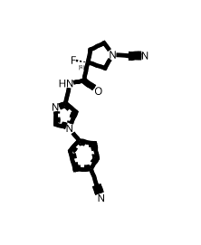 N#Cc1ccc(-n2cnc(NC(=O)[C@@]3(F)CCN(C#N)C3)c2)cc1